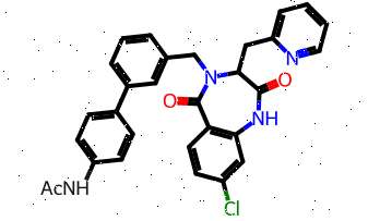 CC(=O)Nc1ccc(-c2cccc(CN3C(=O)c4ccc(Cl)cc4NC(=O)C3Cc3ccccn3)c2)cc1